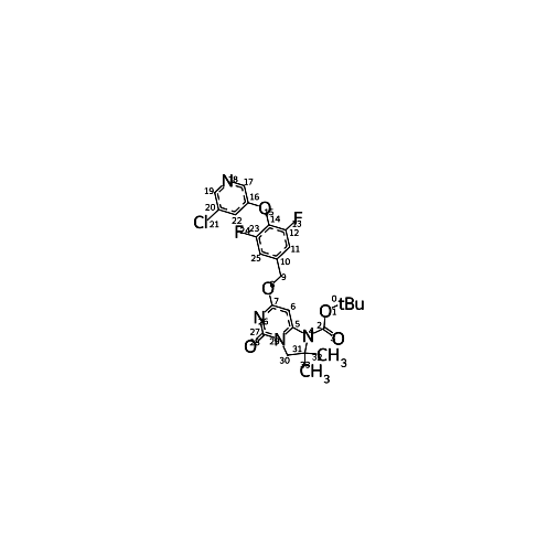 CC(C)(C)OC(=O)N1c2cc(OCc3cc(F)c(Oc4cncc(Cl)c4)c(F)c3)nc(=O)n2CC1(C)C